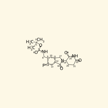 CC(C)(C)OC(=O)NCc1cc2c(cc1F)C(=O)N(C1CCC(=O)NC1=O)C2